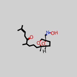 CC(C)=CCC(=O)C(C)CCC[C@]1(C)OC[C@]2(/C=N\O)CC[C@H]1O2